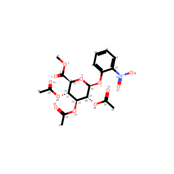 COC(=O)[C@H]1O[C@@H](Oc2ccccc2[N+](=O)[O-])[C@H](OC(C)=O)[C@@H](OC(C)=O)[C@@H]1OC(C)=O